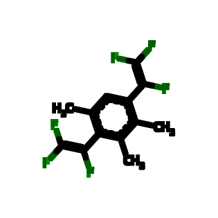 Cc1cc(C(F)=C(F)F)c(C)c(C)c1C(F)=C(F)F